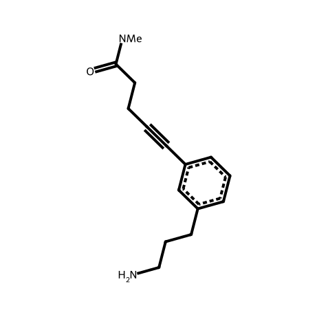 CNC(=O)CCC#Cc1cccc(CCCN)c1